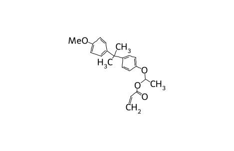 C=CC(=O)OC(C)Oc1ccc(C(C)(C)c2ccc(OC)cc2)cc1